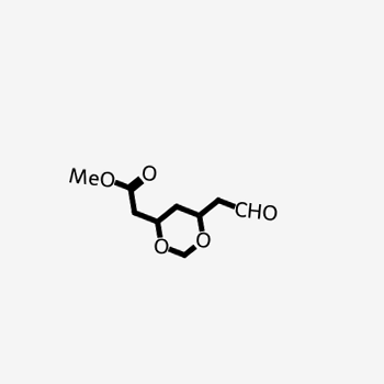 COC(=O)CC1CC(CC=O)OCO1